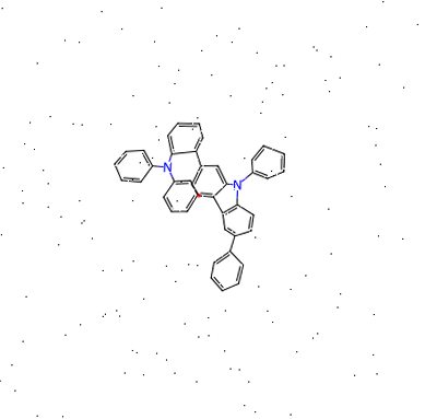 c1ccc(-c2ccc3c(c2)c2ccc(-c4ccccc4N(c4ccccc4)c4ccccc4)cc2n3-c2ccccc2)cc1